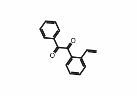 C=Cc1ccccc1C(=O)C(=O)c1ccccc1